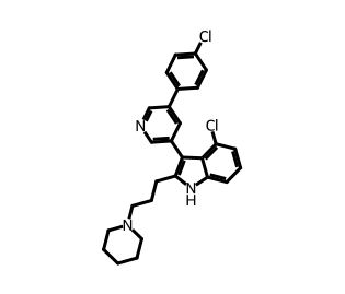 Clc1ccc(-c2cncc(-c3c(CCCN4CCCCC4)[nH]c4cccc(Cl)c34)c2)cc1